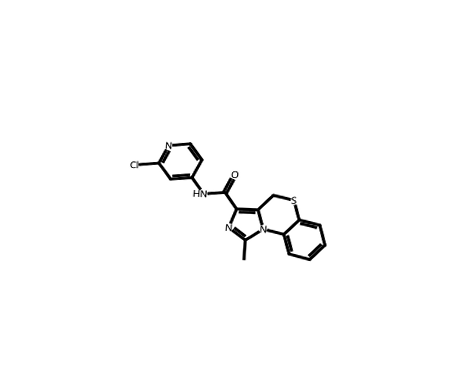 Cc1nc(C(=O)Nc2ccnc(Cl)c2)c2n1-c1ccccc1SC2